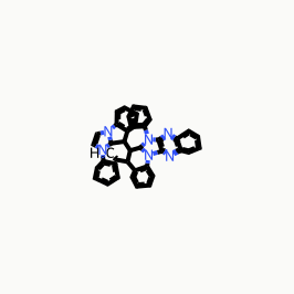 C=CC1c2ccccc2N2c3nc4ccccc4nc3N(c3ccccc3)C2C1C1c2ccccc2N2C=CN(c3ccccc3)C12